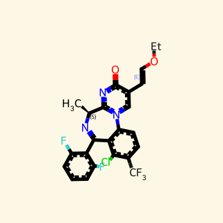 CCO/C=C/c1cn2c(nc1=O)[C@H](C)N=C(c1c(F)cccc1F)c1c-2ccc(C(F)(F)F)c1Cl